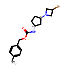 O=C(N[C@@H]1CC[C@@H](N2CC(S)C2)C1)OCc1ccc([N+](=O)[O-])cc1